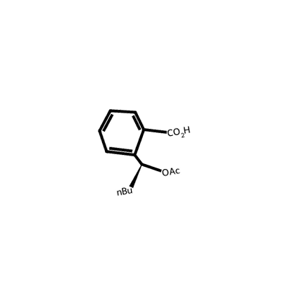 CCCC[C@H](OC(C)=O)c1ccccc1C(=O)O